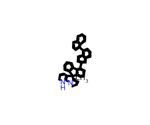 CC12C=CCN1C1=C(C=CCN1)C21c2ccccc2-c2c(-c3ccc4c(-c5cccc6ccccc56)cccc4c3)cccc21